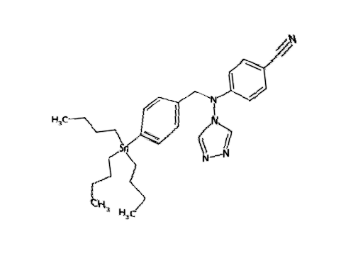 CCC[CH2][Sn]([CH2]CCC)([CH2]CCC)[c]1ccc(CN(c2ccc(C#N)cc2)n2cnnc2)cc1